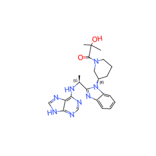 C[C@H](Nc1ncnc2[nH]cnc12)c1nc2ccccc2n1[C@@H]1CCCN(C(=O)C(C)(C)O)C1